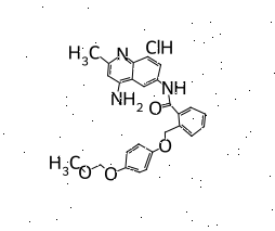 COCOc1ccc(OCc2ccccc2C(=O)Nc2ccc3nc(C)cc(N)c3c2)cc1.Cl